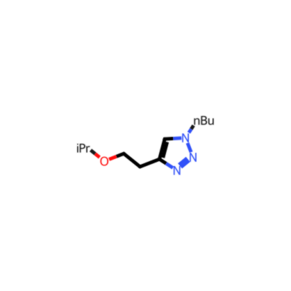 CCCCn1cc(CCOC(C)C)nn1